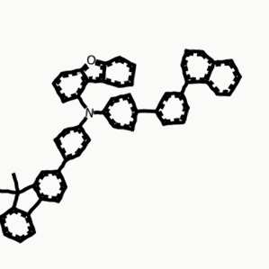 CC1(C)c2ccccc2-c2ccc(-c3ccc(N(c4ccc(-c5cccc(-c6cccc7ccccc67)c5)cc4)c4cccc5oc6ccccc6c45)cc3)cc21